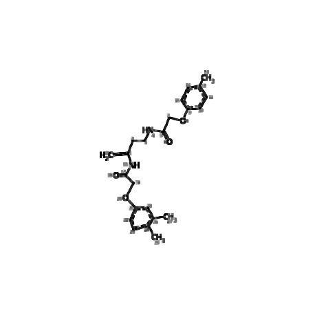 C=C(CCNC(=O)COc1ccc(C)cc1)NC(=O)COc1ccc(C)c(C)c1